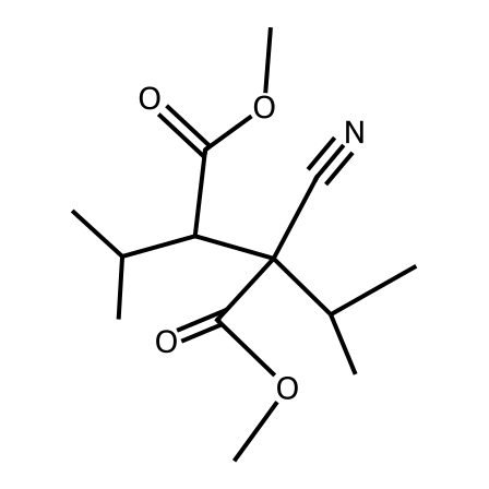 COC(=O)C(C(C)C)C(C#N)(C(=O)OC)C(C)C